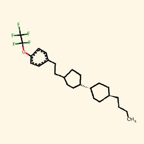 CCCC[C@H]1CC[C@H](C2CCC(CCc3ccc(OC(F)(F)C(F)(F)F)cc3)CC2)CC1